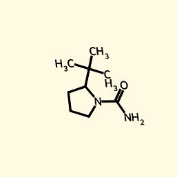 CC(C)(C)C1CCCN1C(N)=O